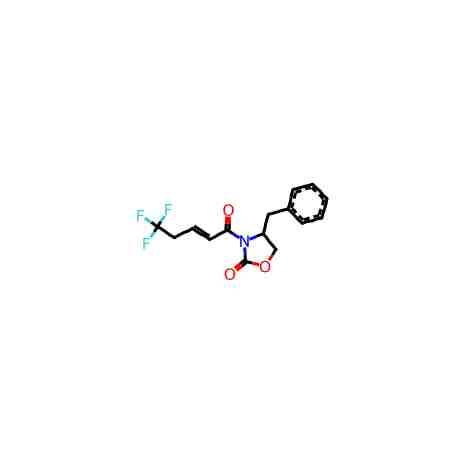 O=C(C=CCC(F)(F)F)N1C(=O)OCC1Cc1ccccc1